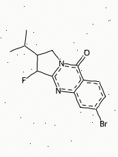 CC(C)C1Cn2c(nc3cc(Br)ccc3c2=O)C1F